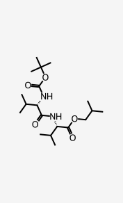 CC(C)COC(=O)[C@@H](NC(=O)[C@@H](NC(=O)OC(C)(C)C)C(C)C)C(C)C